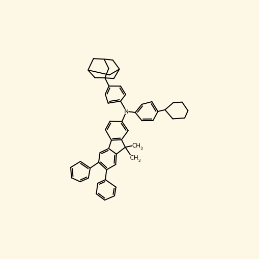 CC1(C)c2cc(N(c3ccc(C4CCCCC4)cc3)c3ccc(C45CC6CC(CC(C6)C4)C5)cc3)ccc2-c2cc(-c3ccccc3)c(-c3ccccc3)cc21